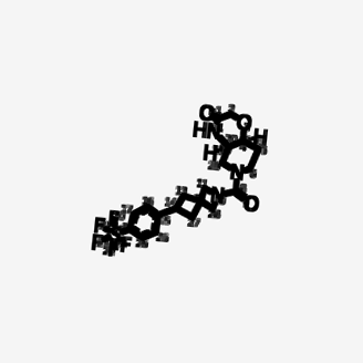 O=C1CO[C@H]2CCN(C(=O)N3CC4(CC(c5ccc(S(F)(F)(F)(F)F)cc5)C4)C3)C[C@H]2N1